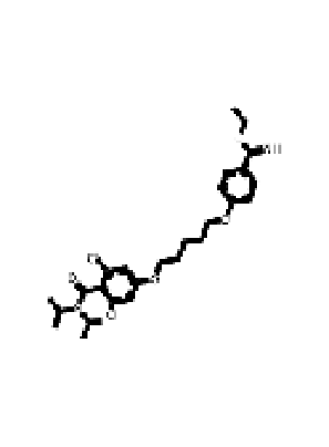 CCOC(=N)c1ccc(OCCCCCOc2cc(Cl)c(C(=O)N(C(C)C)C(C)C)c(Cl)c2)cc1